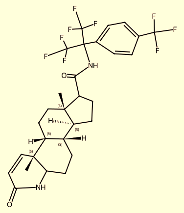 C[C@]12C=CC(=O)NC1CC[C@@H]1[C@H]2CC[C@]2(C)C(C(=O)NC(c3ccc(C(F)(F)F)cc3)(C(F)(F)F)C(F)(F)F)CC[C@@H]12